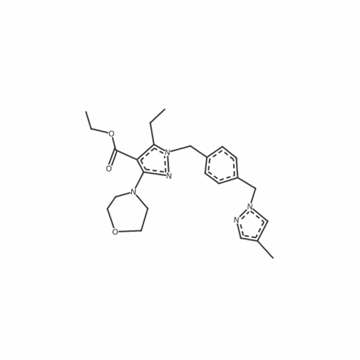 CCOC(=O)c1c(N2CCOCC2)nn(Cc2ccc(Cn3cc(C)cn3)cc2)c1CC